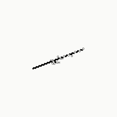 CCCCCCCCCCCCCCC(=O)NC(CCC(=O)NCCOCCOCC(=O)CCOCCOC[C]=O)C(=O)O